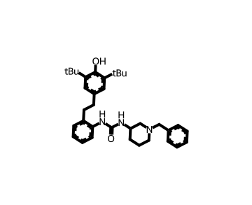 CC(C)(C)c1cc(CCc2ccccc2NC(=O)NC2CCCN(Cc3ccccc3)C2)cc(C(C)(C)C)c1O